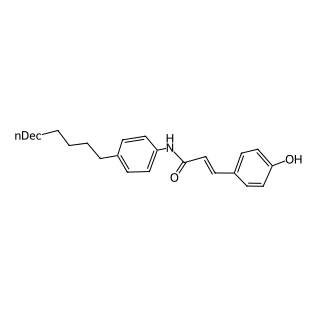 CCCCCCCCCCCCCCc1ccc(NC(=O)/C=C/c2ccc(O)cc2)cc1